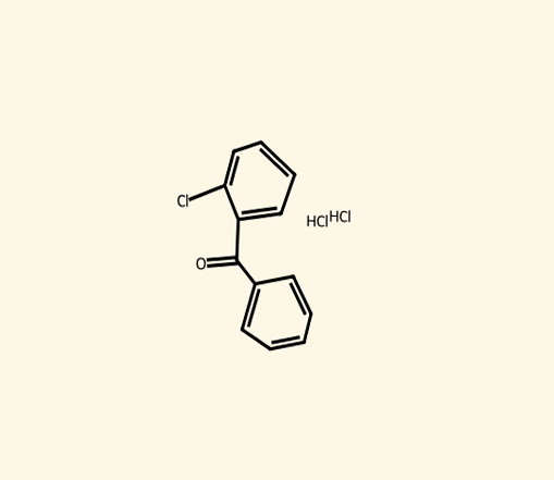 Cl.Cl.O=C(c1ccccc1)c1ccccc1Cl